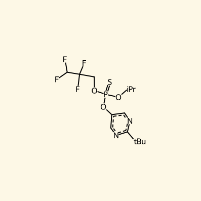 CC(C)OP(=S)(OCC(F)(F)C(F)F)Oc1cnc(C(C)(C)C)nc1